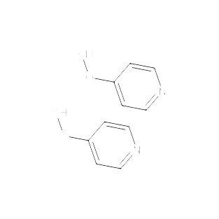 COc1ccncc1.COc1ccncc1